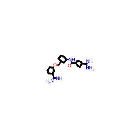 N=C(N)c1ccc(C(=O)Nc2cccc(COc3cccc(C(=N)N)c3)c2)cc1